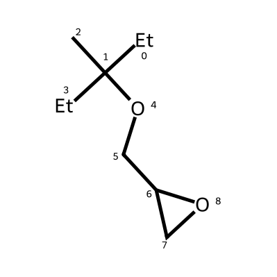 CCC(C)(CC)OCC1CO1